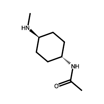 CN[C@H]1CC[C@H](NC(C)=O)CC1